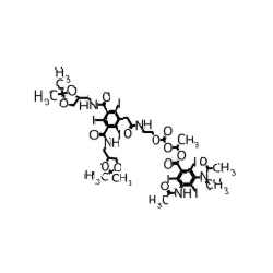 CC(=O)Nc1c(I)c(C(=O)OC(C)OC(=O)OCCNC(=O)Cc2c(I)c(C(=O)NCC3COC(C)(C)O3)c(I)c(C(=O)NCC3COC(C)(C)O3)c2I)c(I)c(N(C)C(C)=O)c1I